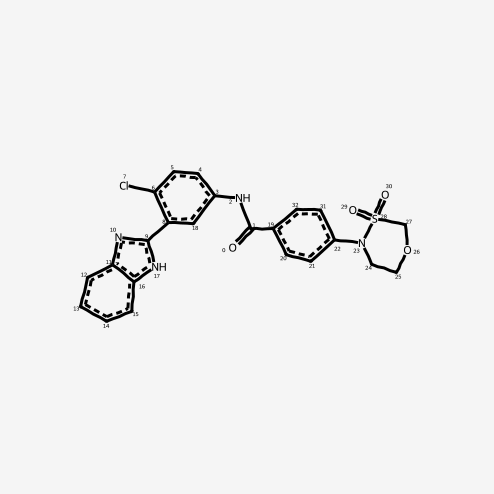 O=C(Nc1ccc(Cl)c(-c2nc3ccccc3[nH]2)c1)c1ccc(N2CCOCS2(=O)=O)cc1